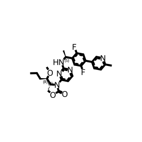 CCC[C@@H](OC)[C@H]1COC(=O)N1c1ccnc(N[C@@H](C)c2cc(F)c(-c3ccc(C)nc3)cc2F)n1